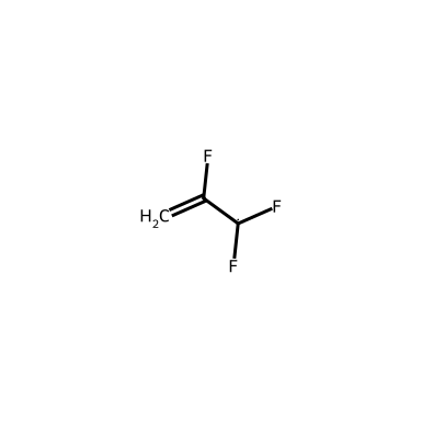 C=C(F)[C](F)F